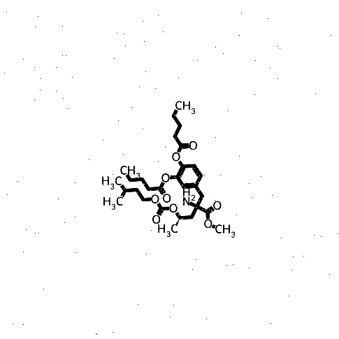 CCCCC(=O)Oc1ccc(CC(N)(C[C@H](C)OC(=O)OCCC(C)C)C(=O)OC)cc1OC(=O)CCCC